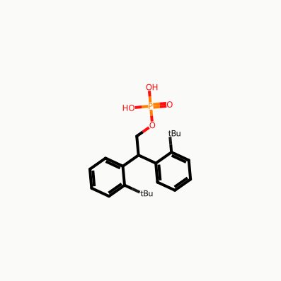 CC(C)(C)c1ccccc1C(COP(=O)(O)O)c1ccccc1C(C)(C)C